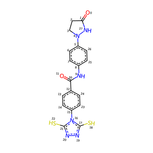 O=C1CCN(c2ccc(NC(=O)c3ccc(-n4c(S)nnc4S)cc3)cc2)N1